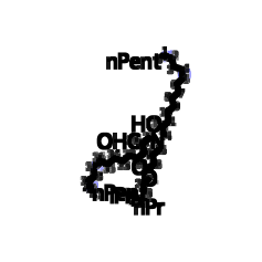 CCCCC/C=C\C/C=C\CCCCCCC(O)CN(CCCC(=O)OCCN(CCC)C(C)C)CC(C=O)CCCCCC/C=C\C/C=C\CCCCC